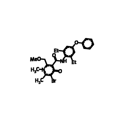 CCc1cc(Oc2ccccc2)cc(CC)c1NC(=O)c1c(COC)n(C)c(C)c(Br)c1=O